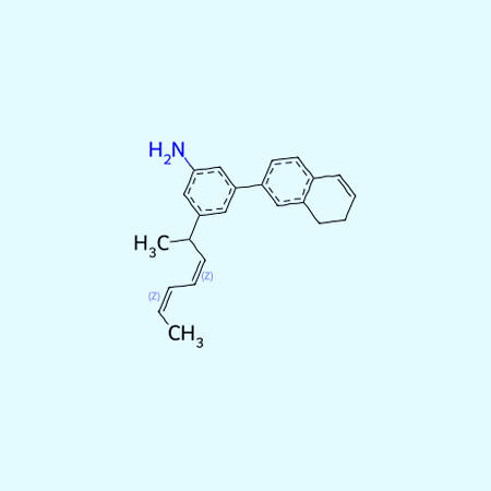 C/C=C\C=C/C(C)c1cc(N)cc(-c2ccc3c(c2)CCC=C3)c1